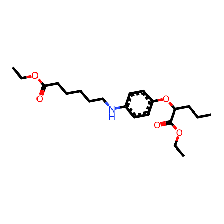 CCCC(Oc1ccc(NCCCCCC(=O)OCC)cc1)C(=O)OCC